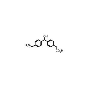 NCc1ccc(C(O)c2ccc(CC(=O)O)cc2)cc1